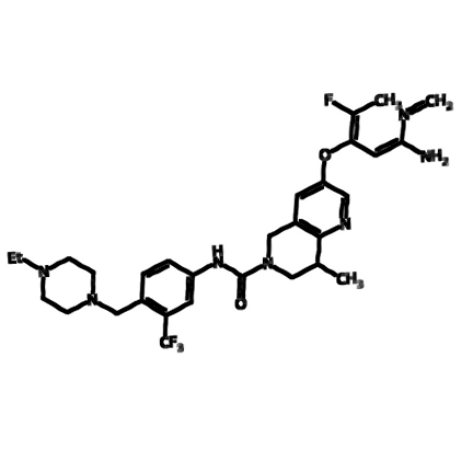 C=N/C(N)=C\C(Oc1cnc2c(c1)CN(C(=O)Nc1ccc(CN3CCN(CC)CC3)c(C(F)(F)F)c1)CC2C)=C(/C)F